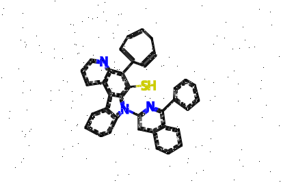 Sc1c(C2=CC=CCC#C2)c2ncccc2c2c3ccccc3n(-c3cc4ccccc4c(-c4ccccc4)n3)c12